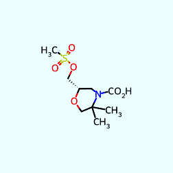 CC1(C)CO[C@H](COS(C)(=O)=O)CN1C(=O)O